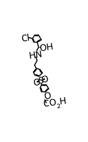 O=C(O)COc1ccc(S(=O)(=O)c2ccc(CCCNC[C@@H](O)c3cccc(Cl)c3)cc2)cc1